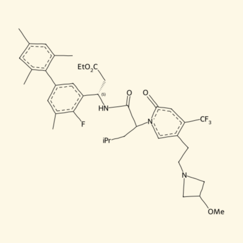 CCOC(=O)C[C@H](NC(=O)C(CC(C)C)n1cc(CCN2CC(OC)C2)c(C(F)(F)F)cc1=O)c1cc(-c2c(C)cc(C)cc2C)cc(C)c1F